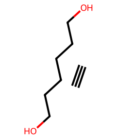 C#C.OCCCCCCO